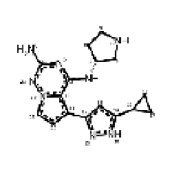 Nc1nc(N[C@@H]2CCNC2)c2c(-c3cc(C4CC4)[nH]n3)ccn2n1